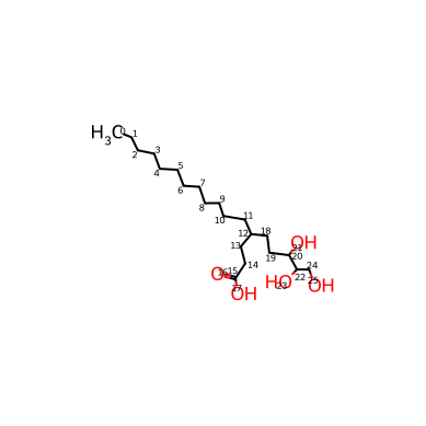 CCCCCCCCCCCCC(CCC(=O)O)CCC(O)C(O)CO